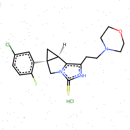 Cl.Fc1ccc(Cl)cc1[C@]12C[C@H]1c1c(CCN3CCOCC3)[nH]c(=S)n1C2